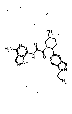 CCn1ncc2cc(C3CCC(C)CN3C(=O)C(=O)Nc3cnc(N)c4cn[nH]c34)ccc21